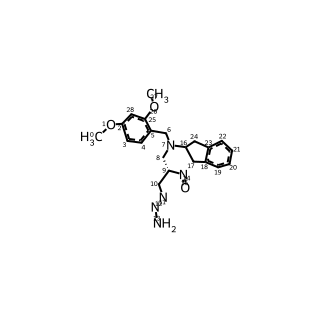 COc1ccc(CN(C[C@@H](CN=NN)N=O)C2Cc3ccccc3C2)c(OC)c1